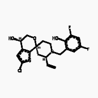 C=C[C@H]1C[C@@]2(CCN1Cc1cc(F)cc(F)c1O)OC[C@H](O)c1cc(Cl)sc12